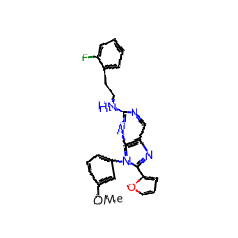 COc1cccc(-n2c(-c3ccco3)nc3cnc(NCCc4ccccc4F)nc32)c1